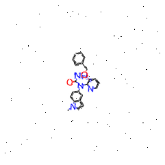 Cn1ccc2cc(N(C(N)=O)c3ncccc3OCc3ccccc3)ccc21